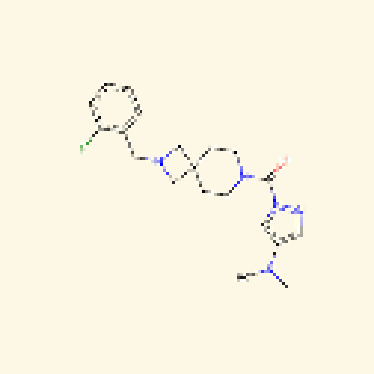 CC(=O)N(C)c1cnn(C(=O)N2CCC3(CC2)CN(Cc2ccccc2F)C3)c1